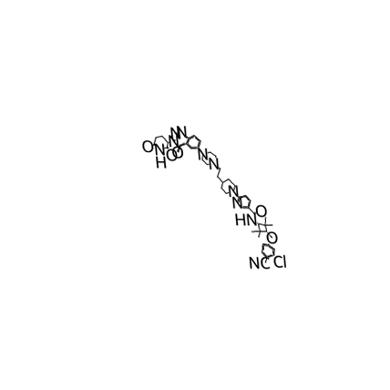 CC1(C)[C@H](NC(=O)c2ccc(N3CCC(CCN4CCN(c5ccc6nnn(C7CCC(=O)NC7=O)c(=O)c6c5)CC4)CC3)nc2)C(C)(C)[C@H]1Oc1ccc(C#N)c(Cl)c1